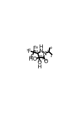 CC(C)N1NC(C(F)(F)F)C(O)(O)C1=O